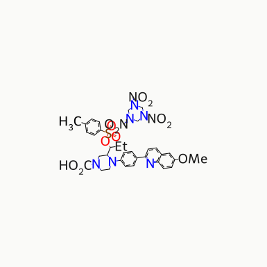 CCC(OS(=O)(=O)c1ccc(C)cc1)C1CN(C(=O)O)CCN1c1ccc(-c2ccc3cc(OC)ccc3n2)cc1.O=[N+]([O-])N1CN([N+](=O)[O-])CN([N+](=O)[O-])C1